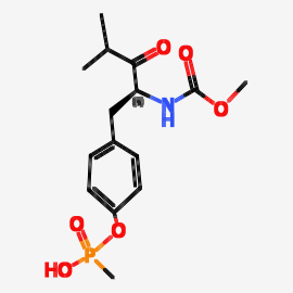 COC(=O)N[C@@H](Cc1ccc(OP(C)(=O)O)cc1)C(=O)C(C)C